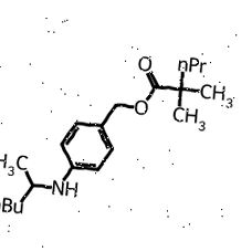 CCCCC(C)Nc1ccc(COC(=O)C(C)(C)CCC)cc1